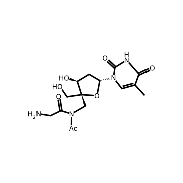 CC(=O)N(C[C@]1(CO)O[C@@H](n2cc(C)c(=O)[nH]c2=O)C[C@@H]1O)C(=O)CN